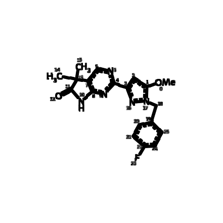 COc1cc(-c2ncc3c(n2)NC(=O)C3(C)C)nn1Cc1ccc(F)cc1